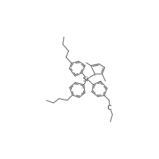 CCCCc1ccc([Si]([C]2C(C)=CC=C2C)(c2ccc(CCCC)cc2)c2ccc(CCCC)cc2)cc1